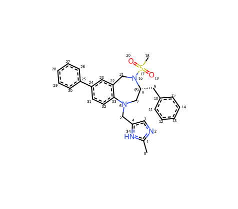 Cc1ncc(CN2C[C@@H](Cc3ccccc3)N(S(C)(=O)=O)Cc3cc(-c4ccccc4)ccc32)[nH]1